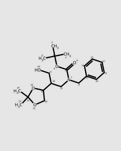 CC(C)(C)OC(=O)N(Cc1ccccc1)CC(CO)C1COC(C)(C)O1